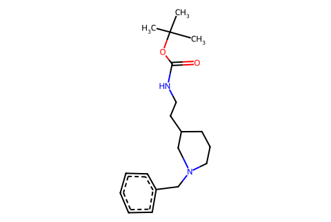 CC(C)(C)OC(=O)NCCC1CCCN(Cc2ccccc2)C1